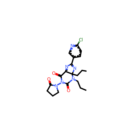 CCCN1C(=O)N(N2CCCC2=O)C(=O)C2=NC(c3ccc(Cl)nc3)=NC21CCC